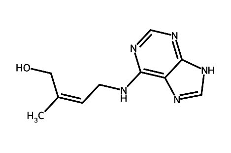 C/C(=C/CNc1ncnc2[nH]cnc12)CO